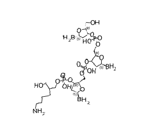 B[C@H]1CC(OP(=O)(O)OC[C@H]2O[C@@H](B)CC2OP(=O)(O)OC[C@H]2O[C@@H](B)CC2OP(=O)(O)OCC(CO)CCCCN)[C@@H](CO)O1